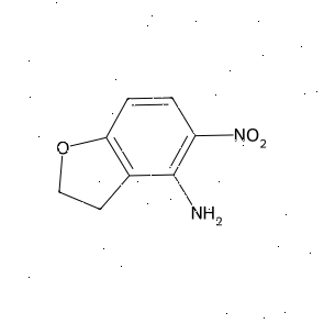 Nc1c([N+](=O)[O-])ccc2c1CCO2